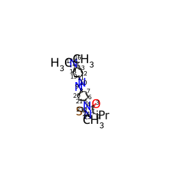 CC(C)C1C(=O)N(c2ccc(N=Nc3ccc(N(C)C)cc3)cc2)C(=S)N1C